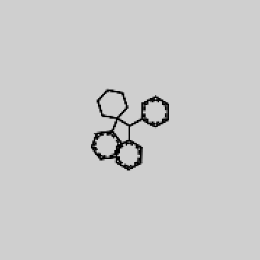 [c]1ccccc1C1(C(c2ccccc2)c2ccccc2)CCCCC1